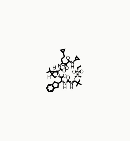 CCS(=O)(=O)N(C)C[C@@H](NC(=O)N[C@H](C(=O)N1C[C@H]2[C@@H]([C@H]1C(=O)NC(CCC1CC1)C(=O)C(=O)NC1CC1)C2(C)C)C1Cc2ccccc2C1)C(C)(C)C